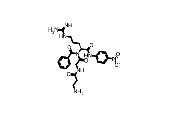 N=C(N)NCCC[C@@H](C(=O)Nc1ccc([N+](=O)[O-])cc1)N(C(=O)CNC(=O)CCN)C(=O)c1ccccc1